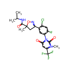 CC(C)NC(=O)C1(C)CC(c2cc(-n3c(=O)cc(C(F)(F)F)n(C)c3=O)c(F)cc2Cl)=NO1